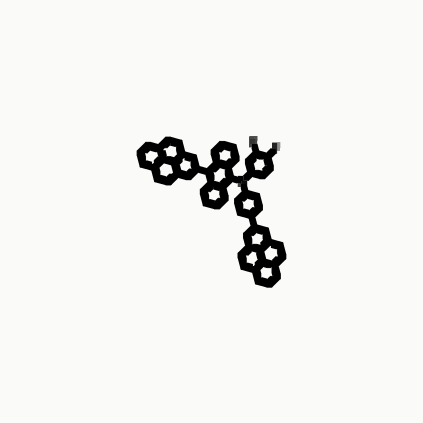 Fc1ccc(N(c2ccc(-c3cc4ccc5cccc6ccc(c3)c4c56)cc2)c2c3ccccc3c(-c3cc4ccc5cccc6ccc(c3)c4c56)c3ccccc23)cc1F